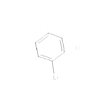 CCc1ccccc1.[HH]